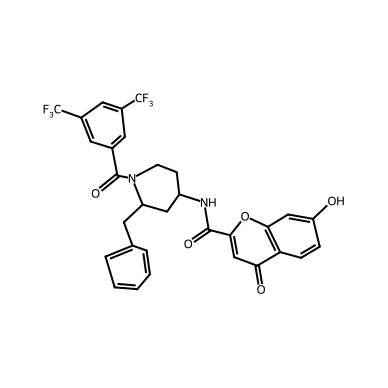 O=C(NC1CCN(C(=O)c2cc(C(F)(F)F)cc(C(F)(F)F)c2)C(Cc2ccccc2)C1)c1cc(=O)c2ccc(O)cc2o1